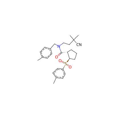 Cc1ccc(CN(CCC(C)(C)C#N)C(=O)[C@@H]2CCC[C@H]2S(=O)(=O)c2ccc(C)cc2)cc1